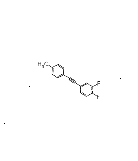 Cc1ccc(C#Cc2ccc(F)c(F)c2)cc1